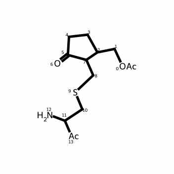 CC(=O)OCC1CCC(=O)C1CSCC(N)C(C)=O